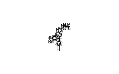 O=c1n(Cc2ccc(-c3nnc(C(F)F)o3)cn2)c2cc(F)c(Br)cc2n1CC1CCNCC1